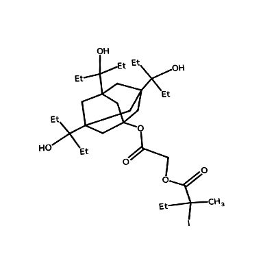 CCC(C)(I)C(=O)OCC(=O)OC12CC3(C(O)(CC)CC)CC(C(O)(CC)CC)(C1)CC(C(O)(CC)CC)(C2)C3